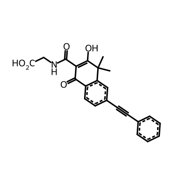 CC1(C)C(O)=C(C(=O)NCC(=O)O)C(=O)c2ccc(C#Cc3ccccc3)cc21